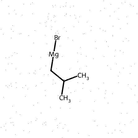 C[C](C)[CH2][Mg][Br]